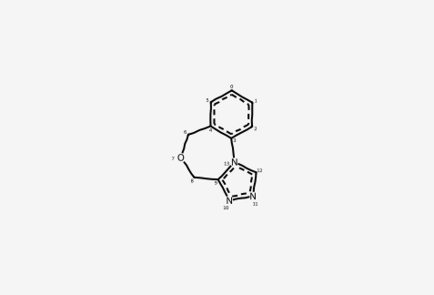 c1ccc2c(c1)COCc1nncn1-2